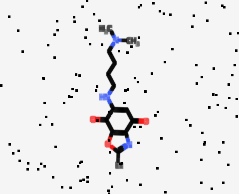 CCc1nc2c(o1)C(=O)C(NCCCCN(C)C)=CC2=O